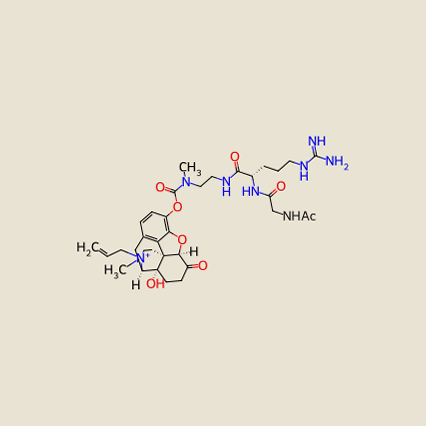 C=CC[N+]1(C)CC[C@]23c4c5ccc(OC(=O)N(C)CCNC(=O)[C@H](CCCNC(=N)N)NC(=O)CNC(C)=O)c4O[C@H]2C(=O)CC[C@@]3(O)[C@H]1C5